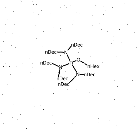 CCCCCCCCCC[N](CCCCCCCCCC)[Ti]([O]CCCCCC)([N](CCCCCCCCCC)CCCCCCCCCC)[N](CCCCCCCCCC)CCCCCCCCCC